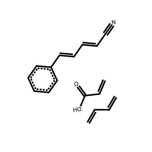 C=CC(=O)O.C=CC=C.N#CC=CC=Cc1ccccc1